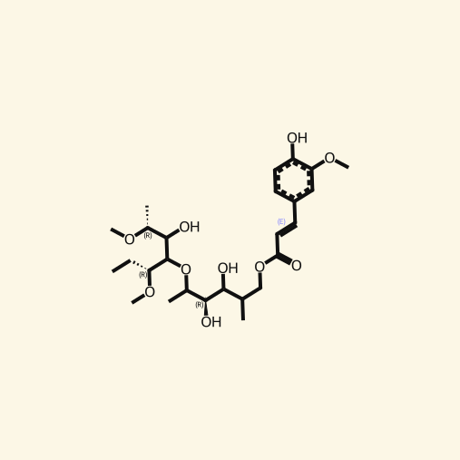 CC[C@@H](OC)C(OC(C)[C@H](O)C(O)C(C)COC(=O)/C=C/c1ccc(O)c(OC)c1)C(O)[C@@H](C)OC